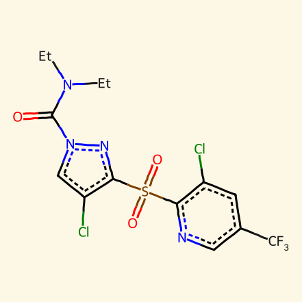 CCN(CC)C(=O)n1cc(Cl)c(S(=O)(=O)c2ncc(C(F)(F)F)cc2Cl)n1